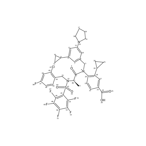 C[C@H](C(=O)N(Cc1cc(C2CC2)cc(N2CCCC2)c1)c1ccc(C(=O)O)cc1C1CC1)N(Cc1ccc(F)cc1Cl)S(=O)(=O)c1c(F)c(F)c(F)c(F)c1F